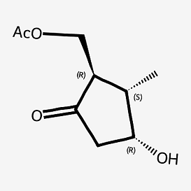 CC(=O)OC[C@@H]1C(=O)C[C@@H](O)[C@H]1C